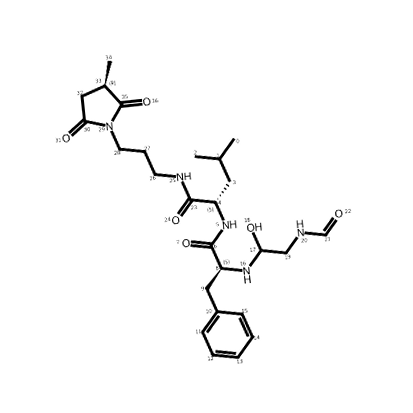 CC(C)C[C@H](NC(=O)[C@H](Cc1ccccc1)NC(O)CNC=O)C(=O)NCCCN1C(=O)C[C@@H](C)C1=O